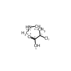 CC(Cl)C(=O)O.CNC